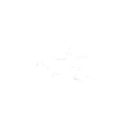 C=C(C)CC(N)(C(=O)OC(C)C)c1ccc(Br)cc1